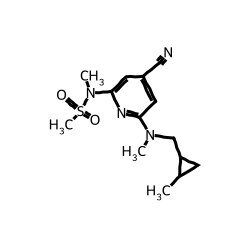 CC1CC1CN(C)c1cc(C#N)cc(N(C)S(C)(=O)=O)n1